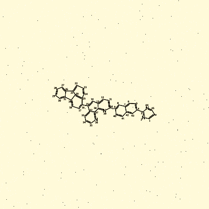 c1cnc(-c2ccc3cc(-c4ccc5cc(-c6ccc7c8c(cccc68)-c6ccccc6-7)c6cccnc6c5n4)ccc3c2)nc1